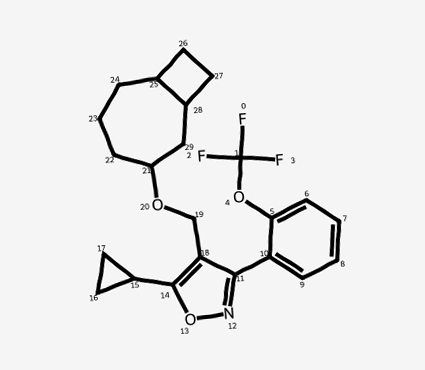 FC(F)(F)Oc1ccccc1-c1noc(C2CC2)c1COC1CCCC2CCC2C1